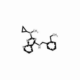 CCc1ccccc1CNc1nc(N(C)C2CC2)nc2ncccc12